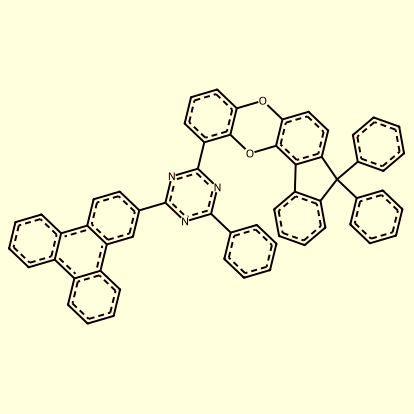 c1ccc(-c2nc(-c3ccc4c5ccccc5c5ccccc5c4c3)nc(-c3cccc4c3Oc3c(ccc5c3-c3ccccc3C5(c3ccccc3)c3ccccc3)O4)n2)cc1